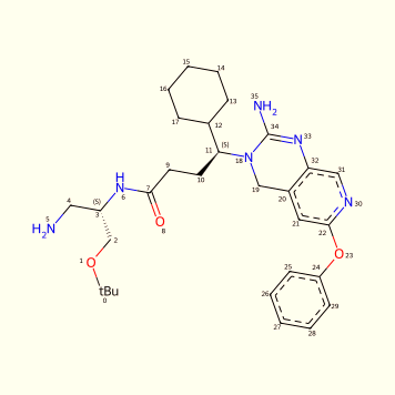 CC(C)(C)OC[C@H](CN)NC(=O)CC[C@@H](C1CCCCC1)N1Cc2cc(Oc3ccccc3)ncc2N=C1N